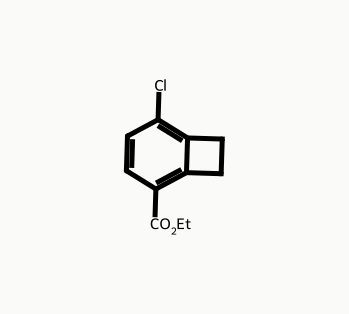 CCOC(=O)c1ccc(Cl)c2c1CC2